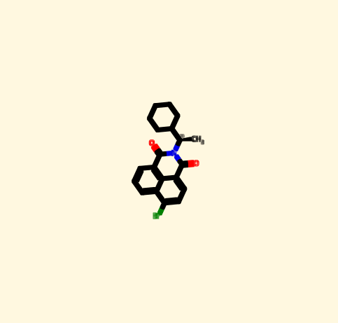 C[C@H](C1CCCCC1)N1C(=O)c2cccc3c(Br)ccc(c23)C1=O